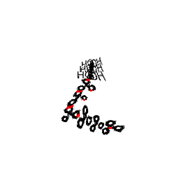 C1CCC(P(C2CCCCC2)C2CCCCC2)CC1.C1CCC(P(C2CCCCC2)C2CCCCC2)CC1.C1CCC(P(C2CCCCC2)C2CCCCC2)CC1.C1CCC(P(C2CCCCC2)C2CCCCC2)CC1.C1CCC(P(C2CCCCC2)C2CCCCC2)CC1.C1CCC(P(C2CCCCC2)C2CCCCC2)CC1.OB(O)F.OB(O)F.OB(O)F